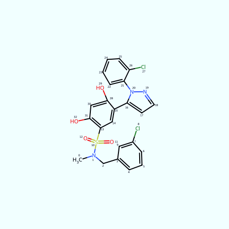 CN(Cc1cccc(Cl)c1)S(=O)(=O)c1cc(-c2ccnn2-c2ccccc2Cl)c(O)cc1O